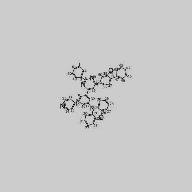 c1ccc(-c2nc(-c3cc(-c4ccncc4)cc(N4c5ccccc5Oc5ccccc54)c3)cc(-c3ccc4c(c3)oc3ccccc34)n2)cc1